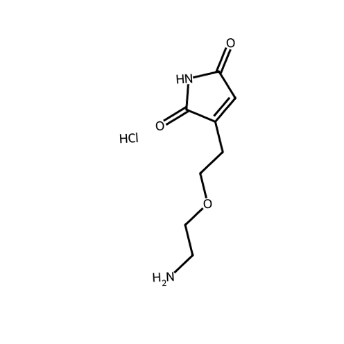 Cl.NCCOCCC1=CC(=O)NC1=O